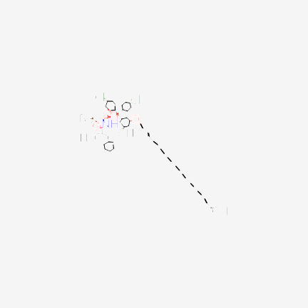 C#CC#CC#CC#CC#CC#CC#CC#CC#CC#CC#COc1cc(C)cc(C(OC(=O)C(CSC(C)(C)C)NC(=O)C(C)Cc2ccccc2)(c2ccc(Cl)cc2)c2ccc(Cl)cc2)c1